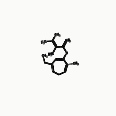 C=C(SC1=CC(CC)=CCC=C1C)C(C)=C(C)C